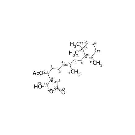 CC(=O)OC(CC/C=C(\C)CCC1=C(C)CCCC1(C)C)C1=CC(=O)OC1O